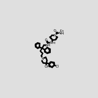 CCNC(=O)N1CCC(NC(=O)NCC(CCCN2CCC(O)(c3ccc(Cl)cc3)CC2)(c2ccccc2)c2ccccc2)CC1